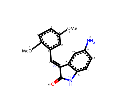 COc1ccc(OC)c(/C=C2/C(=O)Nc3ccc(N)cc32)c1